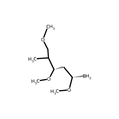 B[C@@H](C[C@H](OC)C(C)COC)OC